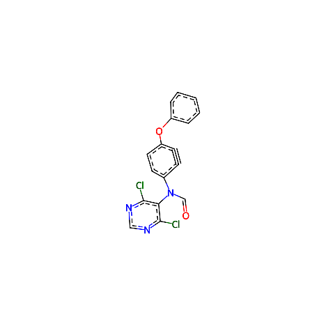 O=CN(c1c#cc(Oc2ccccc2)cc1)c1c(Cl)ncnc1Cl